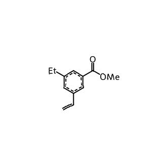 C=Cc1cc(CC)cc(C(=O)OC)c1